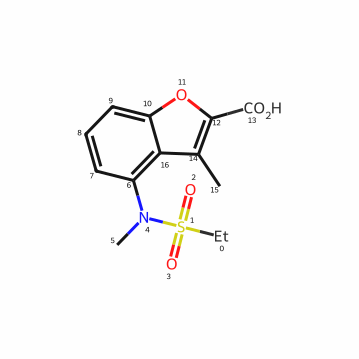 CCS(=O)(=O)N(C)c1cccc2oc(C(=O)O)c(C)c12